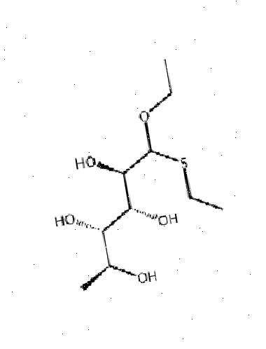 CCOC(SCC)[C@H](O)[C@H](O)[C@@H](O)[C@H](C)O